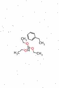 CCO[SiH](OCC)OCC.CCc1ccccc1